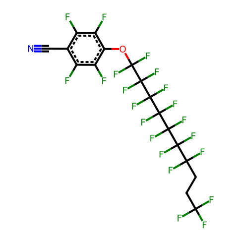 N#Cc1c(F)c(F)c(OC(F)(F)C(F)(F)C(F)(F)C(F)(F)C(F)(F)C(F)(F)C(F)(F)CCC(F)(F)F)c(F)c1F